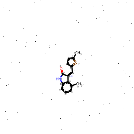 Cc1ccc(/C=C2\C(=O)Nc3cccc(C)c32)s1